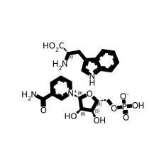 NC(=O)c1ccc[n+]([C@@H]2O[C@H](COP(=O)([O-])O)[C@@H](O)[C@H]2O)c1.N[C@@H](Cc1c[nH]c2ccccc12)C(=O)O